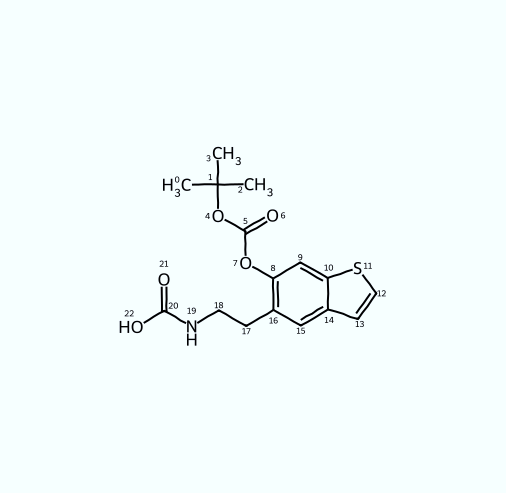 CC(C)(C)OC(=O)Oc1cc2sccc2cc1CCNC(=O)O